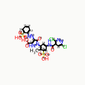 Cc1c(-n2[nH]c(C(=O)O)c(/N=N/c3ccccc3S(=O)(=O)O)c2=O)cc(NC(=O)c2cc(Cl)nnc2Cl)cc1S(=O)(=O)O